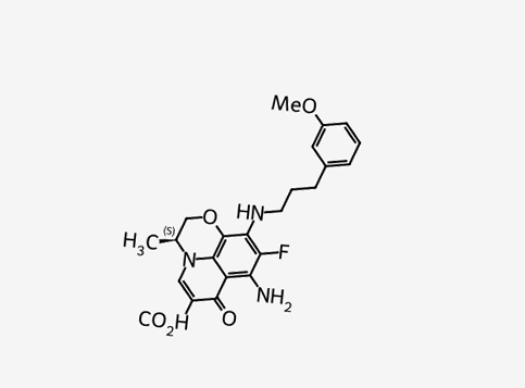 COc1cccc(CCCNc2c(F)c(N)c3c(=O)c(C(=O)O)cn4c3c2OC[C@@H]4C)c1